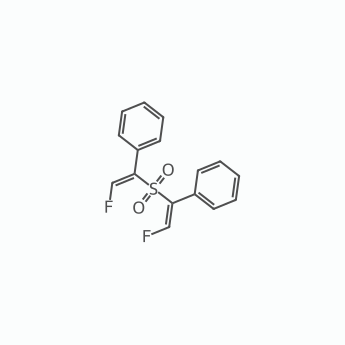 O=S(=O)(C(=CF)c1ccccc1)C(=CF)c1ccccc1